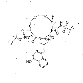 C[C@@H]1CC/C=C\[C@@H]2C[C@@]2(C(=O)NS(=O)(=O)C2(C)CC2)NC(=O)[C@@H]2C[C@@H](Oc3ncc(O)c4ccccc34)CN2C(=O)[C@@H](NC(=O)OC(C)(C)C(F)(F)F)[C@H](C)C1